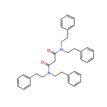 O=C(CC(=O)N(CCc1ccccc1)CCc1ccccc1)N(CCc1ccccc1)CCc1ccccc1